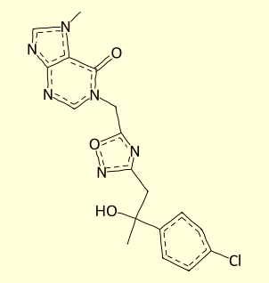 Cn1cnc2ncn(Cc3nc(CC(C)(O)c4ccc(Cl)cc4)no3)c(=O)c21